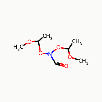 COC(C)ON([C]=O)OC(C)OC